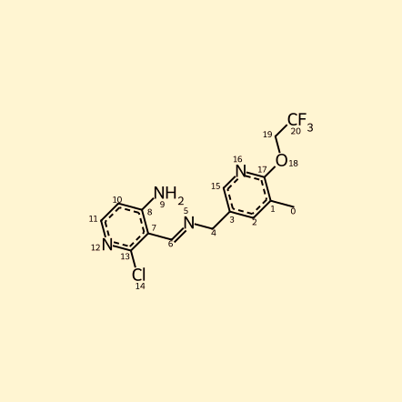 Cc1cc(CN=Cc2c(N)ccnc2Cl)cnc1OCC(F)(F)F